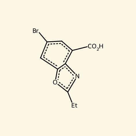 CCc1nc2c(C(=O)O)cc(Br)cc2o1